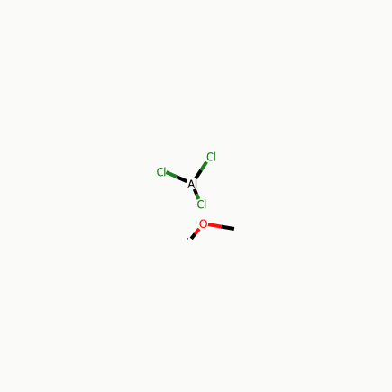 [CH2]OC.[Cl][Al]([Cl])[Cl]